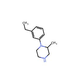 CCc1cccc(N2CCNCC2C)c1